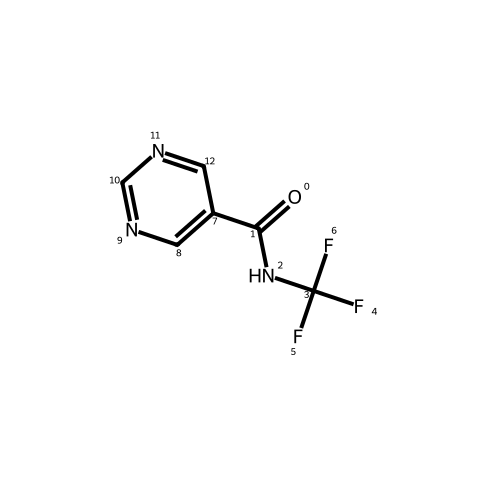 O=C(NC(F)(F)F)c1cncnc1